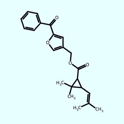 CC(C)=CC1C(C(=O)OCc2coc(C(=O)c3ccccc3)c2)C1(C)C